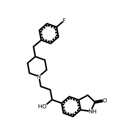 O=C1Cc2cc(C(O)CCN3CCC(Cc4ccc(F)cc4)CC3)ccc2N1